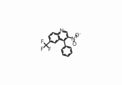 O=[N+]([O-])c1cnc2ccc(C(F)(F)F)cc2c1-c1ccccc1